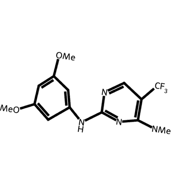 CNc1nc(Nc2cc(OC)cc(OC)c2)ncc1C(F)(F)F